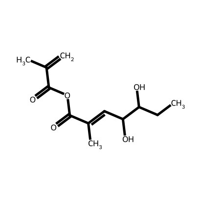 C=C(C)C(=O)OC(=O)C(C)=CC(O)C(O)CC